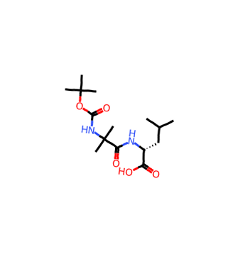 CC(C)C[C@@H](NC(=O)C(C)(C)NC(=O)OC(C)(C)C)C(=O)O